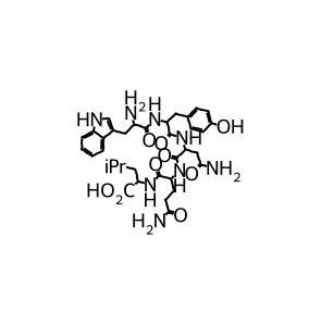 CC(C)CC(NC(=O)C(CCC(N)=O)NC(=O)C(CC(N)=O)NC(=O)C(Cc1ccc(O)cc1)NC(=O)C(N)Cc1c[nH]c2ccccc12)C(=O)O